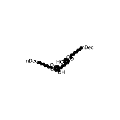 CCCCCCCCCCCCCCCCCC(=O)Oc1ccc(CCCc2ccc(OC(=O)CCCCCCCCCCCCCCCCC)cc2O)c(O)c1